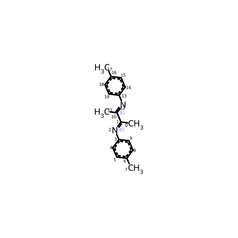 CC(=N\c1ccc(C)cc1)/C(C)=N/c1ccc(C)cc1